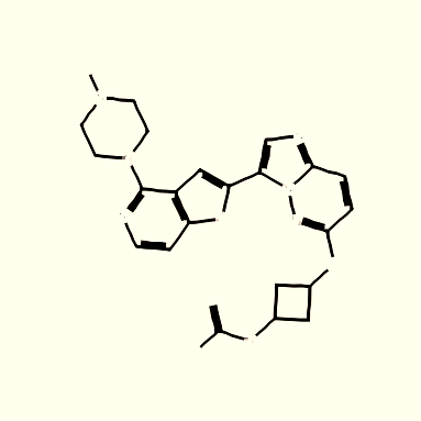 CN1CCN(c2nccc3oc(-c4cnc5ccc(OC6CC(NC(=O)O)C6)nn45)cc23)CC1